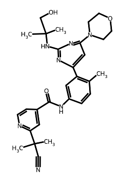 Cc1ccc(NC(=O)c2ccnc(C(C)(C)C#N)c2)cc1-c1cc(N2CCOCC2)nc(NC(C)(C)CO)n1